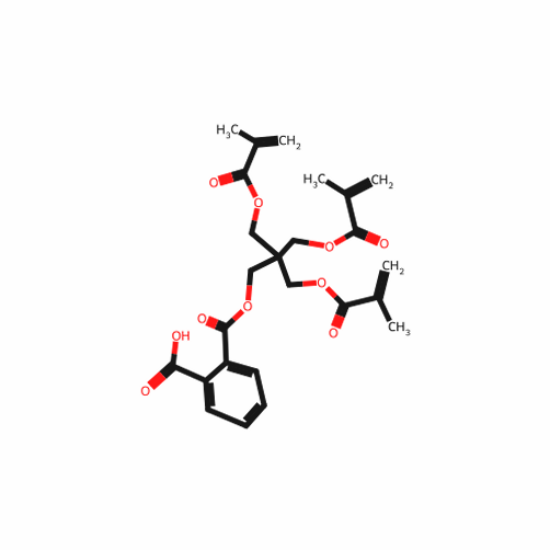 C=C(C)C(=O)OCC(COC(=O)C(=C)C)(COC(=O)C(=C)C)COC(=O)c1ccccc1C(=O)O